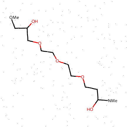 CNC(O)CCOCCOCCOCC(O)COC